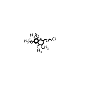 COc1cc(OC)c2c(c1)C(C)C(C)CC(COCCCl)S2